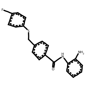 Nc1ccccc1NC(=O)c1ccc(CSc2ccc(F)cc2)cc1